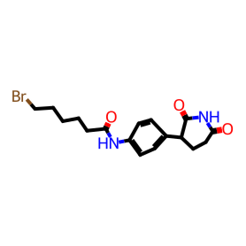 O=C1CCC(c2ccc(NC(=O)CCCCCBr)cc2)C(=O)N1